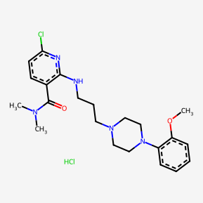 COc1ccccc1N1CCN(CCCNc2nc(Cl)ccc2C(=O)N(C)C)CC1.Cl